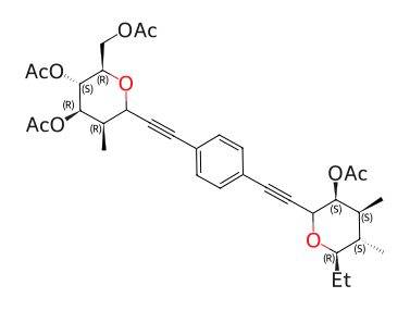 CC[C@H]1OC(C#Cc2ccc(C#CC3O[C@H](COC(C)=O)[C@@H](OC(C)=O)[C@H](OC(C)=O)[C@@H]3C)cc2)[C@@H](OC(C)=O)[C@@H](C)[C@@H]1C